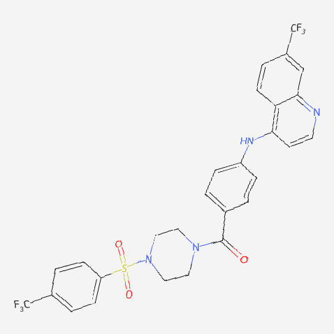 O=C(c1ccc(Nc2ccnc3cc(C(F)(F)F)ccc23)cc1)N1CCN(S(=O)(=O)c2ccc(C(F)(F)F)cc2)CC1